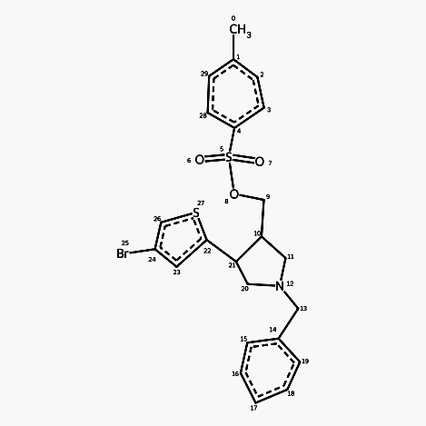 Cc1ccc(S(=O)(=O)OCC2CN(Cc3ccccc3)CC2c2cc(Br)cs2)cc1